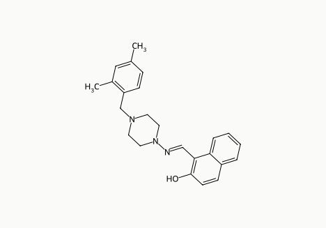 Cc1ccc(CN2CCN(N=Cc3c(O)ccc4ccccc34)CC2)c(C)c1